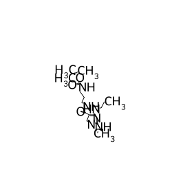 CCCNc1nc(NC)ncc1C(=O)NCCCNC(=O)OC(C)(C)C